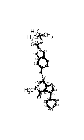 Cn1nc(OCc2ccc3c(c2)CN(C(=O)OC(C)(C)C)C3)c2scc(-c3ccncc3)c2c1=O